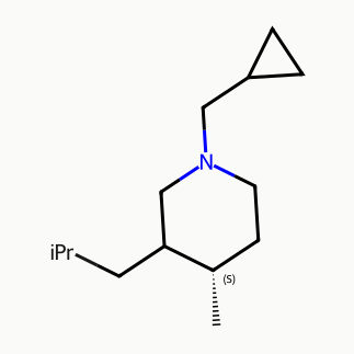 CC(C)CC1CN(CC2CC2)CC[C@@H]1C